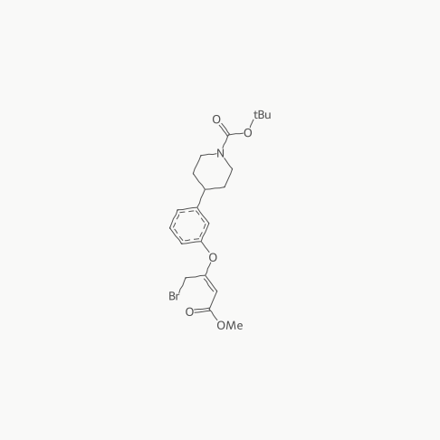 COC(=O)/C=C(\CBr)Oc1cccc(C2CCN(C(=O)OC(C)(C)C)CC2)c1